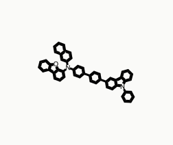 c1ccc(-n2c3ccccc3c3cc(-c4ccc(-c5ccc(N(c6ccc7ccccc7c6)c6cccc7c6oc6ccccc67)cc5)cc4)ccc32)cc1